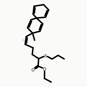 CCCSC(CC/C=C\C1(C)C=CC2(C=CCC=C2)C=C1)C(=O)OCC